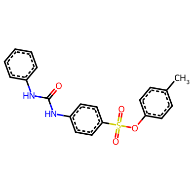 Cc1ccc(OS(=O)(=O)c2ccc(NC(=O)Nc3ccccc3)cc2)cc1